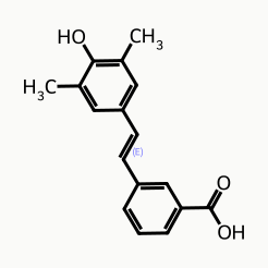 Cc1cc(/C=C/c2cccc(C(=O)O)c2)cc(C)c1O